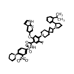 CC(C)c1ccccc1C1CCCN1C1CC2(CCN(c3cc(Oc4cnc5[nH]ccc5c4)c(C(=O)NS(=O)(=O)c4ccc(N5CCCCC5)c([N+](=O)[O-])c4)cc3F)CC2)C1